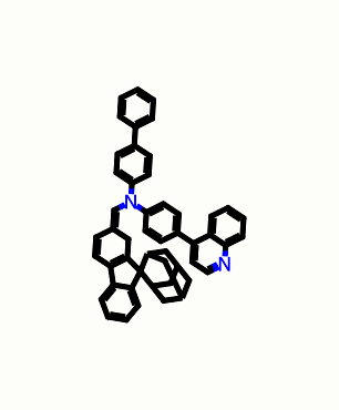 C1=C/C(=C/N(c2ccc(-c3ccccc3)cc2)c2ccc(-c3ccnc4ccccc34)cc2)CC2=C1c1ccccc1C21C2CC3CC(C2)CC1C3